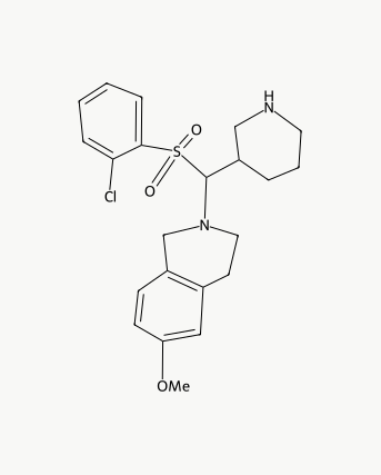 COc1ccc2c(c1)CCN(C(C1CCCNC1)S(=O)(=O)c1ccccc1Cl)C2